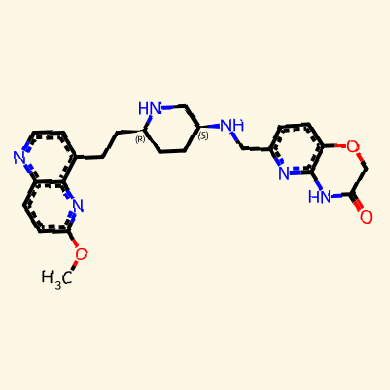 COc1ccc2nccc(CC[C@@H]3CC[C@H](NCc4ccc5c(n4)NC(=O)CO5)CN3)c2n1